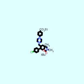 CCOC(=O)c1ccc(N2CCN(CC3=C(c4ccc(Cl)cc4)CC[C@@](C)(CN(C)C(=O)OC(C)(C)C)C3)CC2)cc1